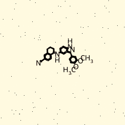 COc1ccc(-c2n[nH]c3ccc(N[C@H]4CCCc5cc(C#N)ccc54)cc23)cc1OC